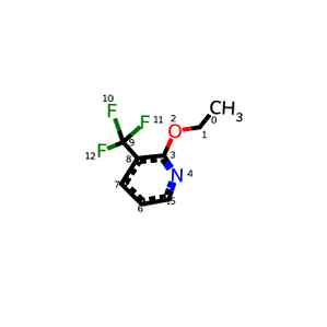 CCOc1n[c]ccc1C(F)(F)F